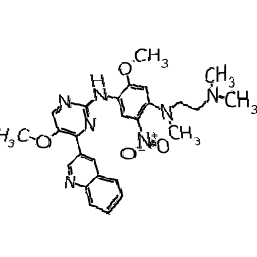 COc1cc(N(C)CCN(C)C)c([N+](=O)[O-])cc1Nc1ncc(OC)c(-c2cnc3ccccc3c2)n1